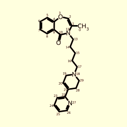 CC1=COc2ccccc2C(=O)N1CCCCCN1CC=C(c2ccccn2)CC1